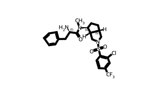 CN(C(=O)[C@@H](N)Cc1ccccc1)[C@H]1CC[C@@H]2CN(S(=O)(=O)c3ccc(C(F)(F)F)cc3Cl)C[C@@H]21